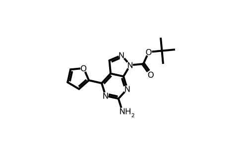 CC(C)(C)OC(=O)n1ncc2c(-c3ccco3)nc(N)nc21